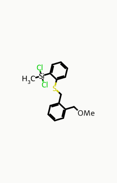 COCc1ccccc1CSc1ccccc1[Si](C)(Cl)Cl